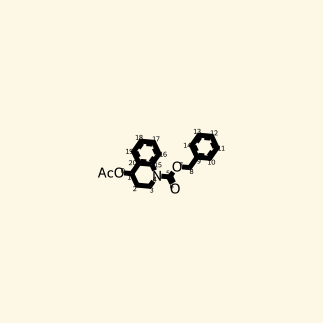 CC(=O)OC1CCN(C(=O)OCc2ccccc2)c2ccccc21